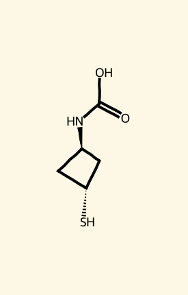 O=C(O)N[C@H]1C[C@H](S)C1